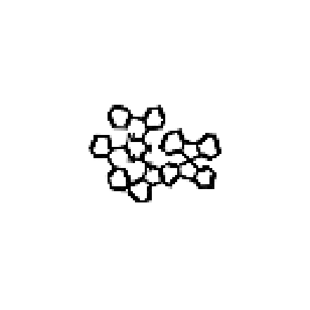 c1ccc(-c2ccccc2-c2nc(-c3ccccc3-c3ccccc3)nc(-n3c4ccccc4c4cc5c(cc43)C3(c4ccccc4-c4ccccc43)c3ccccc3-5)n2)cc1